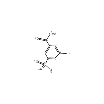 COC(=O)c1cc(I)cc(S(=O)(=O)Cl)c1